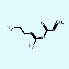 C=CC(=O)OC(C)=CCCC